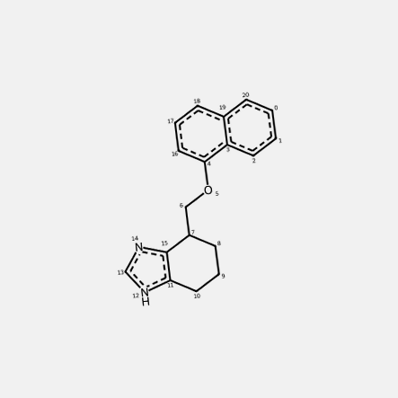 c1ccc2c(OCC3CCCc4[nH]cnc43)cccc2c1